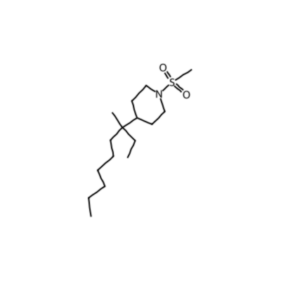 CCCCCCC(C)(CC)C1CCN(S(C)(=O)=O)CC1